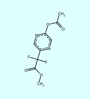 COC(=O)C(F)(F)c1cnc(OC(C)=O)cn1